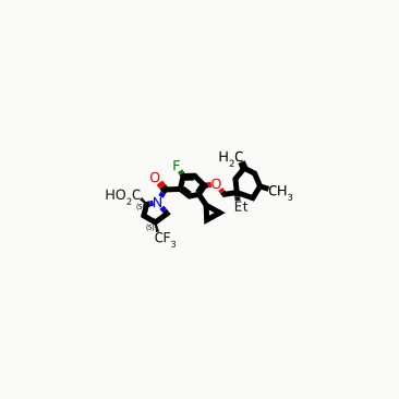 C=C1CC(C)CC(CC)(COc2cc(F)c(C(=O)N3C[C@@H](C(F)(F)F)C[C@H]3C(=O)O)cc2C2CC2)C1